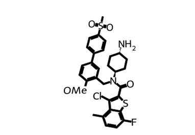 COc1ccc(-c2ccc(S(C)(=O)=O)cc2)cc1CN(C(=O)c1sc2c(F)ccc(C)c2c1Cl)[C@H]1CC[C@H](N)CC1